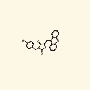 O=C1S/C(=C\c2c3ccccc3nc3ccccc23)C(=O)N1Cc1ccc(Br)cc1